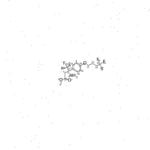 COC(=O)C[C@](N)(c1ccc(OCCCC(F)(F)F)cc1)C(F)(F)F